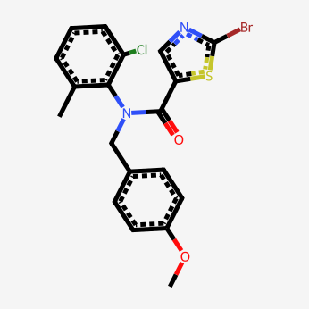 COc1ccc(CN(C(=O)c2cnc(Br)s2)c2c(C)cccc2Cl)cc1